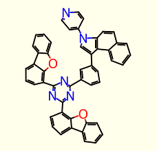 c1cc(-c2nc(-c3cccc4c3oc3ccccc34)nc(-c3cccc4c3oc3ccccc34)n2)cc(-c2cn(-c3ccncc3)c3ccc4ccccc4c23)c1